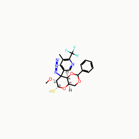 CO[C@H]1[C@@H](S)O[C@@H]2COC(c3ccccc3)O[C@@H]2C1(N=[N+]=[N-])c1cnc(C(F)(F)F)c(C)c1